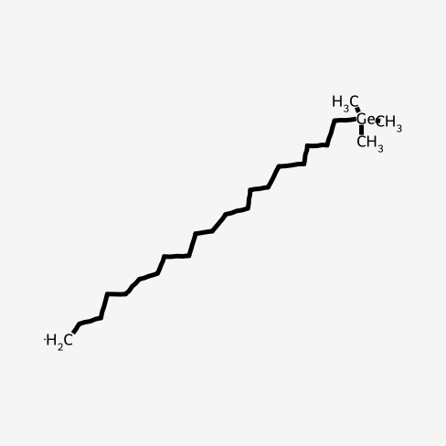 [CH2]CCCCCCCCCCCCCCCCCC[CH2][Ge]([CH3])([CH3])[CH3]